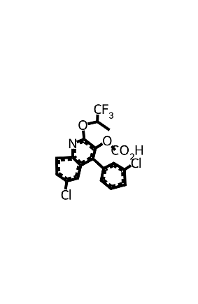 CC(Oc1nc2ccc(Cl)cc2c(-c2cccc(Cl)c2)c1OC(=O)O)C(F)(F)F